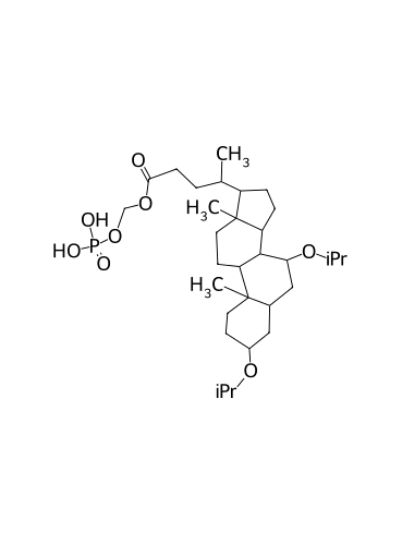 CC(C)OC1CCC2(C)C(C1)CC(OC(C)C)C1C2CCC2(C)C(C(C)CCC(=O)OCOP(=O)(O)O)CCC12